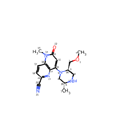 COC[C@H]1CN[C@H](C)CN1c1cc(=O)n(C)c2ccc(C#N)nc12